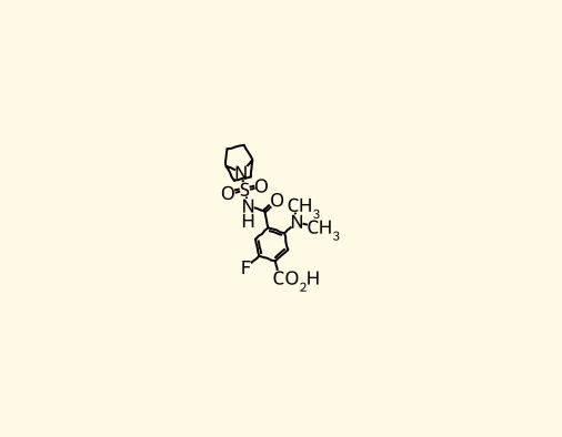 CN(C)c1cc(C(=O)O)c(F)cc1C(=O)NS(=O)(=O)N1C2CCC1CC2